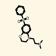 CN(C)CCN1CCOc2cc(S(=O)(=O)c3ccccc3)ccc21